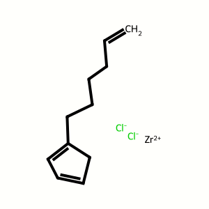 C=CCCCCC1=CC=CC1.[Cl-].[Cl-].[Zr+2]